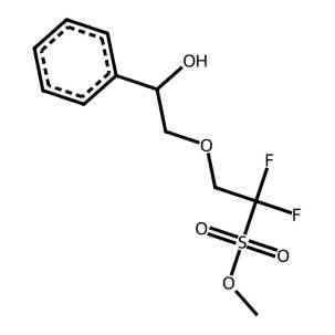 COS(=O)(=O)C(F)(F)COCC(O)c1ccccc1